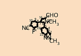 Cn1cc2cc(-c3c(-c4ccc(C#N)c(F)c4)cc(C=O)n3C)ccc2n1